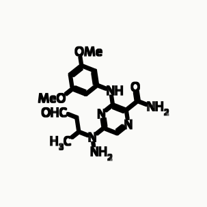 COc1cc(Nc2nc(N(N)C(C)CC=O)cnc2C(N)=O)cc(OC)c1